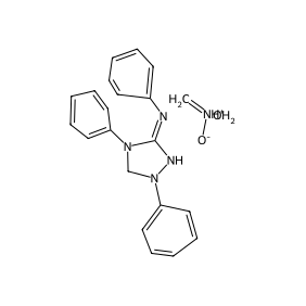 C=[NH+][O-].O.c1ccc(/N=C2/NN(c3ccccc3)CN2c2ccccc2)cc1